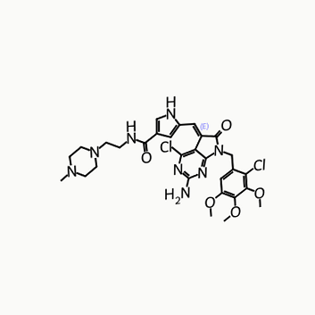 COc1cc(CN2C(=O)/C(=C/c3cc(C(=O)NCCN4CCN(C)CC4)c[nH]3)c3c(Cl)nc(N)nc32)c(Cl)c(OC)c1OC